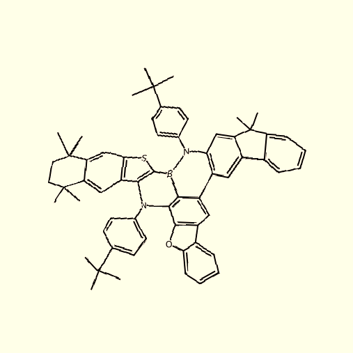 CC(C)(C)c1ccc(N2B3c4sc5cc6c(cc5c4N(c4ccc(C(C)(C)C)cc4)c4c3c(cc3c4oc4ccccc43)-c3cc4c(cc32)C(C)(C)c2ccccc2-4)C(C)(C)CCC6(C)C)cc1